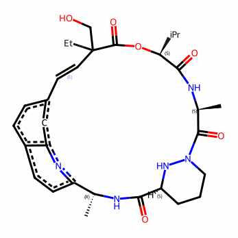 CCC1(CO)/C=C/c2ccc3ccc(nc3c2)[C@@H](C)NC(=O)[C@@H]2CCCN(N2)C(=O)[C@H](C)NC(=O)[C@H](C(C)C)OC1=O